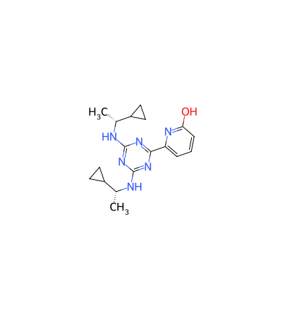 C[C@@H](Nc1nc(N[C@H](C)C2CC2)nc(-c2cccc(O)n2)n1)C1CC1